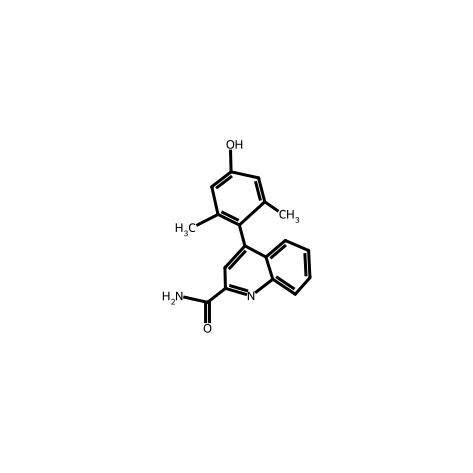 Cc1cc(O)cc(C)c1-c1cc(C(N)=O)nc2ccccc12